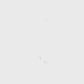 C[N+](C)(C)CCOc1ccc([O-])cc1